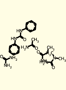 CC(N)=O.CCC(N)=O.CN(C)C(N)=O.NC(N)=O.O=C(Nc1ccccc1)Nc1ccccc1